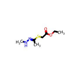 CCOC(=O)CS/C(C)=N/NC